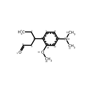 CCC(CC=O)c1ccc(N(C)C)cc1OC